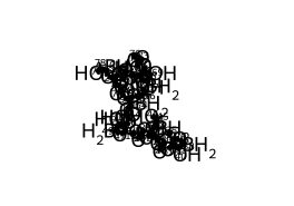 B[C@H](OC(COP(=O)(O)OC(COP(=O)(O)OC1[C@@H](COP(=O)(O)OC(COP(=O)(O)OC2[C@@H](CC)O[C@@H](B)[C@H]2O)O[C@@H](B)[C@H](C)O)O[C@@H](B)[C@H]1O)O[C@@H](B)[C@H](C)O)OP(=O)(O)OC[C@H]1O[C@@H](B)[C@@H](O)C1OP(=O)(O)OC)[C@H](C)O